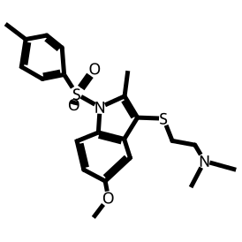 COc1ccc2c(c1)c(SCCN(C)C)c(C)n2S(=O)(=O)c1ccc(C)cc1